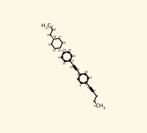 CCCC#Cc1ccc(C#Cc2ccc([C@H]3CC[C@H](CCC)CC3)cc2)cc1